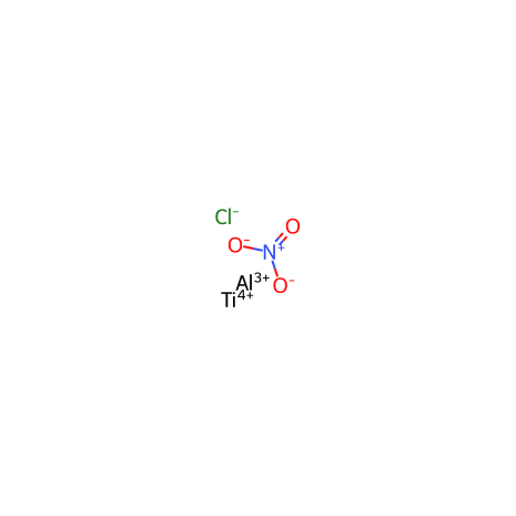 O=[N+]([O-])[O-].[Al+3].[Cl-].[Ti+4]